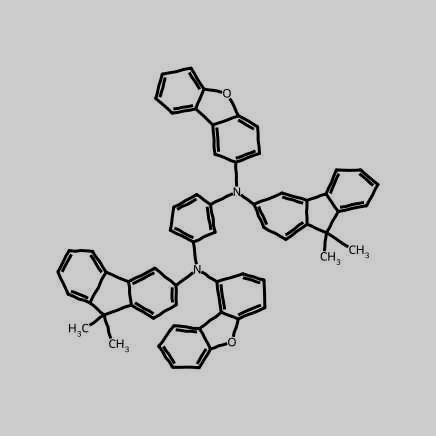 CC1(C)c2ccccc2-c2cc(N(c3cccc(N(c4ccc5c(c4)-c4ccccc4C5(C)C)c4cccc5oc6ccccc6c45)c3)c3ccc4oc5ccccc5c4c3)ccc21